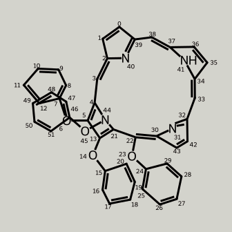 C1=Cc2cc3c(Oc4ccccc4)c(Oc4ccccc4)c(c(Oc4ccccc4)c4nc(cc5ccc(cc1n2)[nH]5)C=C4)n3Oc1ccccc1